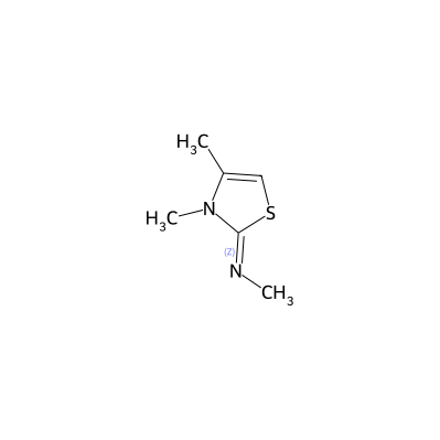 C/N=c1\scc(C)n1C